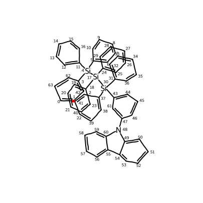 c1ccc([Si](c2ccccc2)(c2ccccc2)[Si](c2ccccc2)(c2ccccc2)[Si](c2ccccc2)(c2ccccc2)c2cccc(-n3c4ccccc4c4ccccc43)c2)cc1